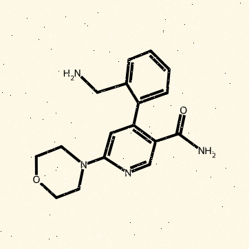 NCc1ccccc1-c1cc(N2CCOCC2)ncc1C(N)=O